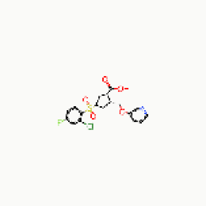 O=C(O)[C@@H]1C[C@@H](S(=O)(=O)c2ccc(F)cc2Cl)C[C@H]1COc1cccnc1